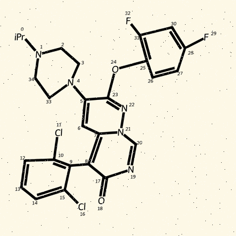 CC(C)N1CCN(c2cc3c(-c4c(Cl)cccc4Cl)c(=O)ncn3nc2Oc2ccc(F)cc2F)CC1